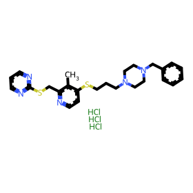 Cc1c(SCCCN2CCN(Cc3ccccc3)CC2)ccnc1CSc1ncccn1.Cl.Cl.Cl